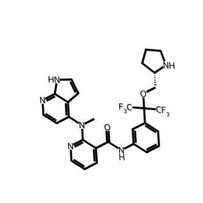 CN(c1ncccc1C(=O)Nc1cccc(C(OC[C@@H]2CCCN2)(C(F)(F)F)C(F)(F)F)c1)c1ccnc2[nH]ccc12